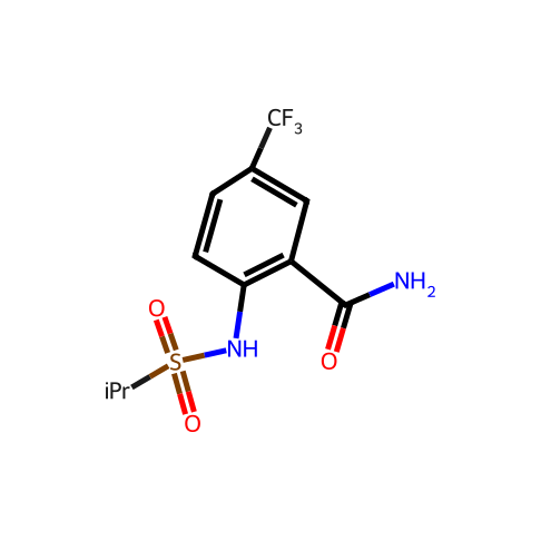 CC(C)S(=O)(=O)Nc1ccc(C(F)(F)F)cc1C(N)=O